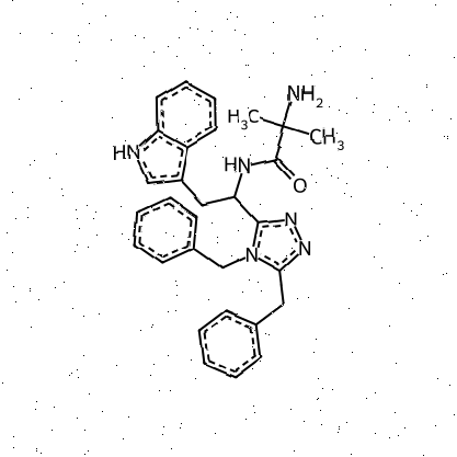 CC(C)(N)C(=O)NC(Cc1c[nH]c2ccccc12)c1nnc(Cc2ccccc2)n1Cc1ccccc1